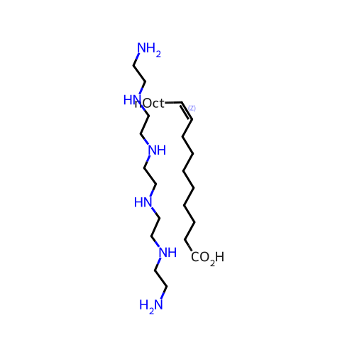 CCCCCCCC/C=C\CCCCCCCC(=O)O.NCCNCCNCCNCCNCCN